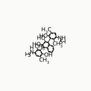 Cc1cc(NSI)c(C)c(-c2c(O)c(O)c(-c3c(C)c(NSI)cc(C)c3O)c3ccccc23)c1O